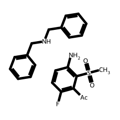 CC(=O)c1c(F)ccc(N)c1S(C)(=O)=O.c1ccc(CNCc2ccccc2)cc1